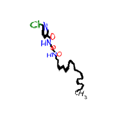 CC/C=C\C/C=C\C/C=C\C/C=C\C/C=C\C/C=C\CCC(=O)NCCOCCNC(=O)c1ccc(Cl)nc1